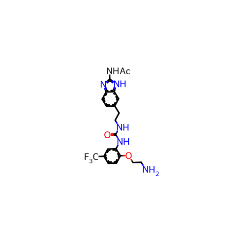 CC(=O)Nc1nc2ccc(CCNC(=O)Nc3cc(C(F)(F)F)ccc3OCCN)cc2[nH]1